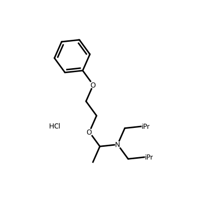 CC(C)CN(CC(C)C)C(C)OCCOc1ccccc1.Cl